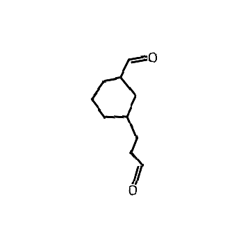 O=CCCC1CCCC(C=O)C1